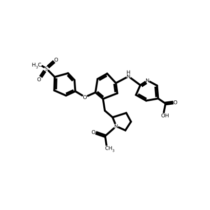 CC(=O)N1CCCC1Cc1cc(Nc2ccc(C(=O)O)cn2)ccc1Oc1ccc(S(C)(=O)=O)cc1